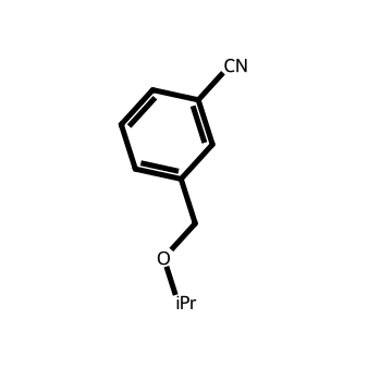 CC(C)OCc1cccc(C#N)c1